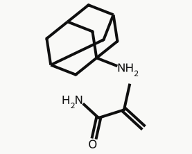 C=C(C)C(N)=O.NC12CC3CC(CC(C3)C1)C2